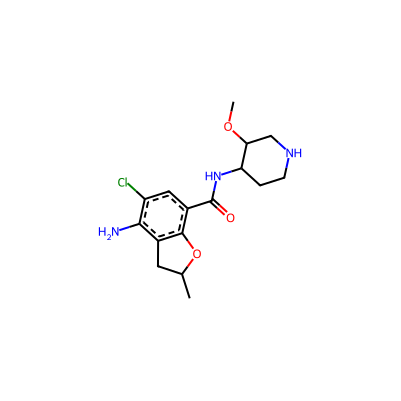 COC1CNCCC1NC(=O)c1cc(Cl)c(N)c2c1OC(C)C2